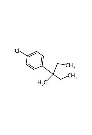 [CH2]C(CC)(CC)c1ccc(Cl)cc1